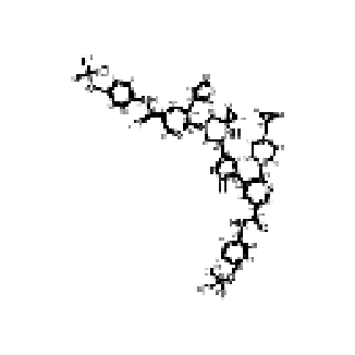 O=C(Nc1ccc(OC(F)(F)Cl)cc1)c1cnc(N2CC(c3cc(-c4cc(C(=O)Nc5ccc(OC(F)(F)Cl)cc5)cnc4N4CCN(C5CC5)CC4)[nH]n3)NC3(CC3)C2)c(-c2ccn[nH]2)c1